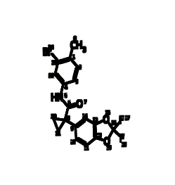 Cc1ccc(NC(=O)C2(c3ccc4c(c3)OC(F)(F)O4)CC2)cc1Br